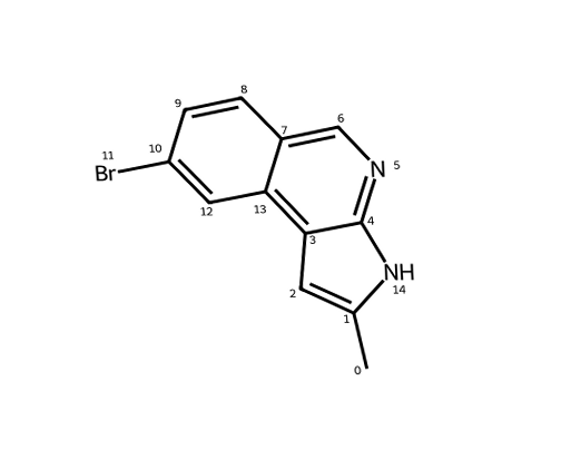 Cc1cc2c(ncc3ccc(Br)cc32)[nH]1